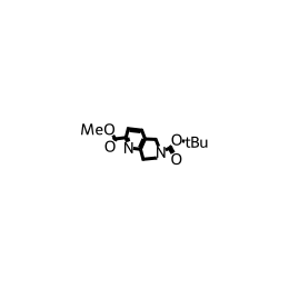 COC(=O)c1ccc2c(n1)CCN(C(=O)OC(C)(C)C)C2